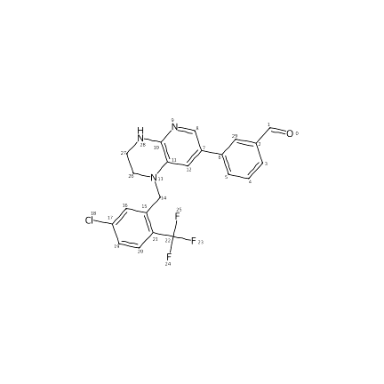 O=Cc1cccc(-c2cnc3c(c2)N(Cc2cc(Cl)ccc2C(F)(F)F)CCN3)c1